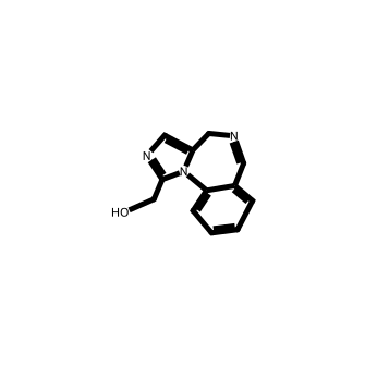 OCc1ncc2n1-c1ccccc1C=NC2